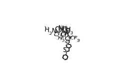 CC(C)(N)CC(N)C(C)(C)C(=O)OCC(C)(COc1ccc2cc(-c3ccccc3)sc2c1)C(F)(F)F